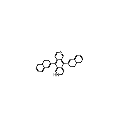 C1=c2c(-c3ccc4ccccc4c3)c3ccncc3c(-c3ccc4ccccc4c3)c2=CCN1